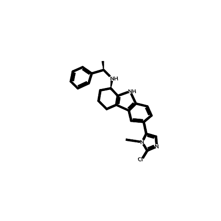 C[C@@H](N[C@@H]1CCCc2c1[nH]c1ccc(-c3cnc(Cl)n3C)cc21)c1ccccc1